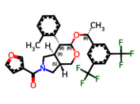 Cc1ccccc1[C@@H]1[C@@H](O[C@H](C)c2cc(C(F)(F)F)cc(C(F)(F)F)c2)OC[C@@H]2CN(C(=O)c3ccoc3)C[C@H]21